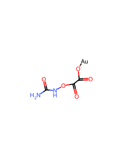 NC(=O)NOC(=O)C(=O)[O][Au]